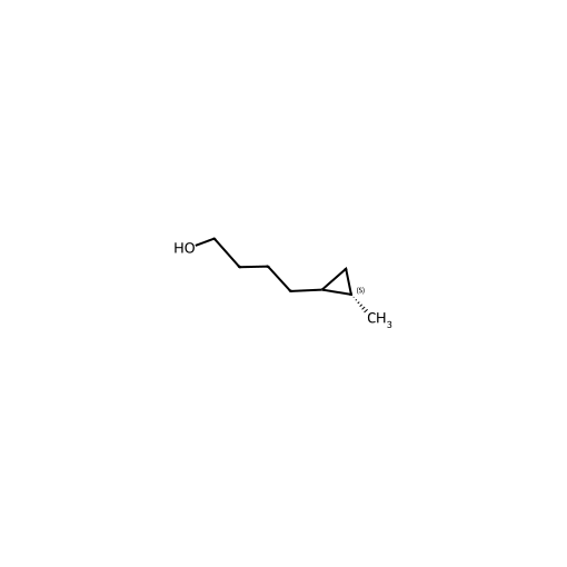 C[C@H]1CC1CCCCO